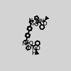 O=C(N[C@@H](C(=O)N1CCC[C@H]1c1ncc(-c2ccc(-c3ccc(-c4cnc([C@@H]5CCCN5C(=O)[C@H](NC(=O)C5CC5)C5CCCCC5)s4)cc3)cc2)s1)C1CCCCC1)C1CC1